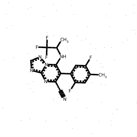 Cc1cc(F)c(-c2c(C#N)nc3ncnn3c2NC(C)C(F)(F)F)cc1F